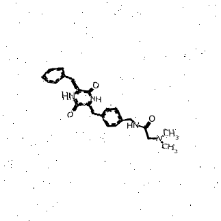 CN(C)CC(=O)NCc1ccc(C=c2[nH]c(=O)c(=Cc3ccccc3)[nH]c2=O)cc1